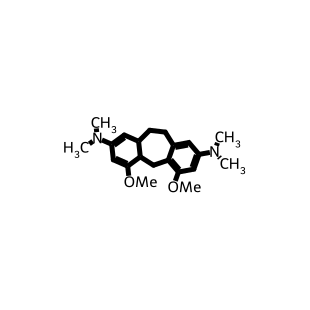 COC1=CC(N(C)C)=CC2CCc3cc(N(C)C)cc(OC)c3CC12